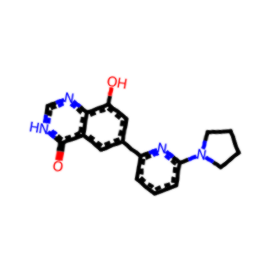 O=c1[nH]cnc2c(O)cc(-c3cccc(N4CCCC4)n3)cc12